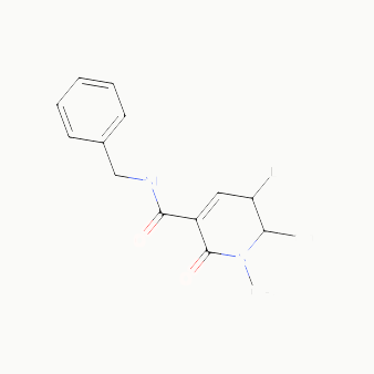 CCCCN1C(=O)C(C(=O)NCc2ccccc2)=CC(CC)C1CCC